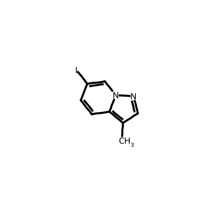 Cc1cnn2cc(I)ccc12